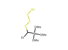 CCC(SSSS)[Si](OC)(OC)OC